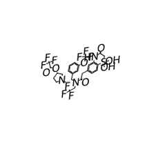 O=C1CS(O)(O)c2ccc(CC(=O)N(CC(F)(F)F)[C@H](CN3CC[C@H](OC(=O)C(F)(F)F)C3)c3cccc(OC(F)(F)F)c3)cc2N1